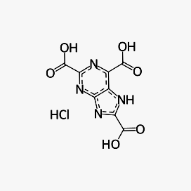 Cl.O=C(O)c1nc(C(=O)O)c2[nH]c(C(=O)O)nc2n1